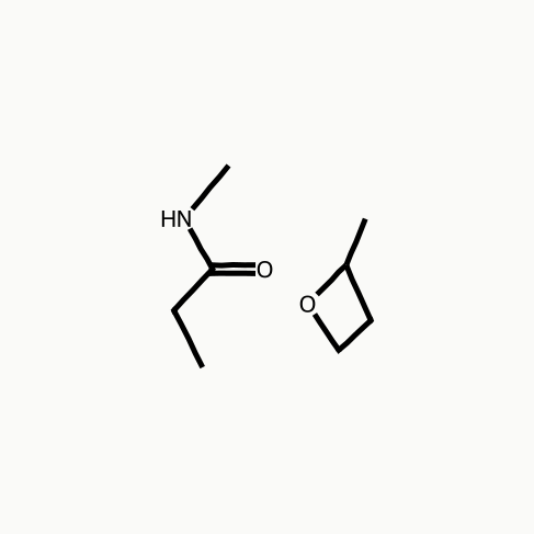 CC1CCO1.CCC(=O)NC